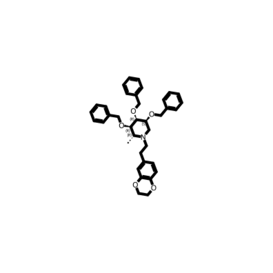 C[C@@H]1[C@@H](OCc2ccccc2)[C@H](OCc2ccccc2)[C@@H](OCc2ccccc2)CN1CCc1ccc2c(c1)OCCO2